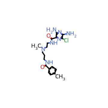 Cc1ccc(C(=O)NCCCN(C)CCNC(=O)c2nc(Cl)c(N)nc2N)cc1